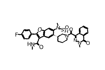 CNC(=O)c1c(-c2ccc(F)cc2)oc2cc(N(C)SO)c([C@H]3CCCN(C(=O)c4nn(C)c(=O)c5ccccc45)C3)cc12